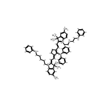 Cc1ccc2c(c1)C(C)(C)C(/C=C/C1=C(N(c3ccccc3)c3ccccc3)C(=C/C=C3/N(CCCCCOc4ccccc4)c4ccc(C)cc4C3(C)C)/CC1)=[N+]2CCOCCOc1ccccc1